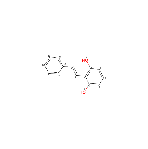 Oc1cccc(O)c1C=Cc1ccccc1